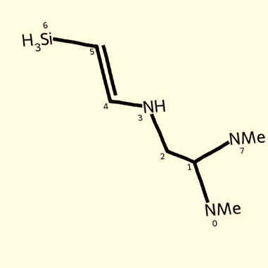 CNC(CNC=C[SiH3])NC